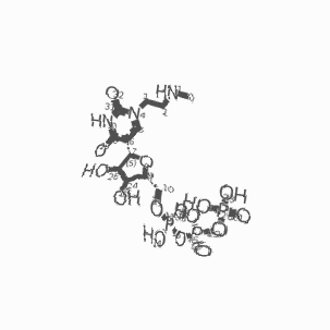 CNCCn1cc([C@@H]2O[C@H](COP(=O)(O)OP(=O)(O)OP(=O)(O)O)C(O)C2O)c(=O)[nH]c1=O